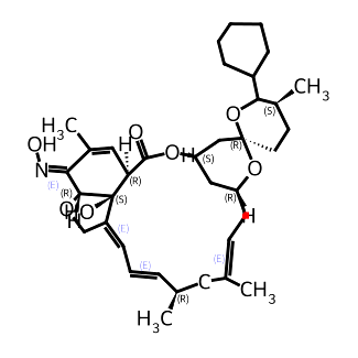 CC1=C[C@H]2C(=O)O[C@H]3C[C@@H](C/C=C(\C)C[C@@H](C)/C=C/C=C4\CO[C@H](/C1=N/O)[C@@]42O)O[C@@]1(CC[C@H](C)C(C2CCCCC2)O1)C3